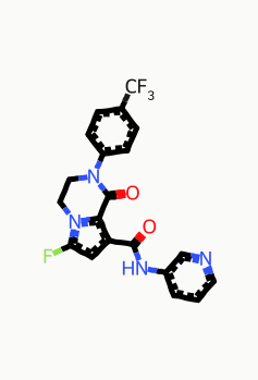 O=C(Nc1cccnc1)c1cc(F)n2c1C(=O)N(c1ccc(C(F)(F)F)cc1)CC2